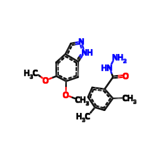 COc1cc2cn[nH]c2cc1OC.Cc1ccc(C(=O)NN)c(C)c1